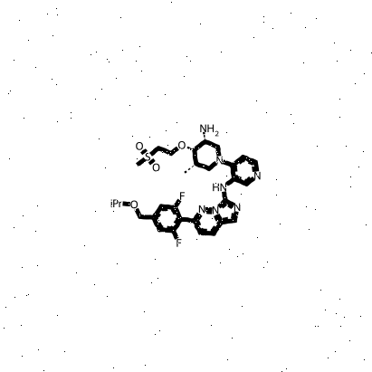 CC(C)OCc1cc(F)c(-c2ccc3cnc(Nc4cnccc4N4C[C@@H](N)[C@@H](OCCS(C)(=O)=O)[C@@H](C)C4)n3n2)c(F)c1